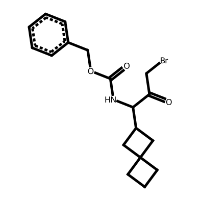 O=C(NC(C(=O)CBr)C1CC2(CCC2)C1)OCc1ccccc1